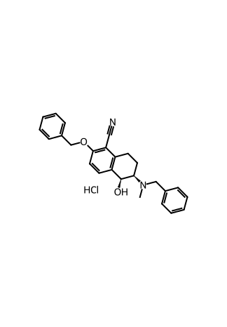 CN(Cc1ccccc1)[C@@H]1CCc2c(ccc(OCc3ccccc3)c2C#N)[C@@H]1O.Cl